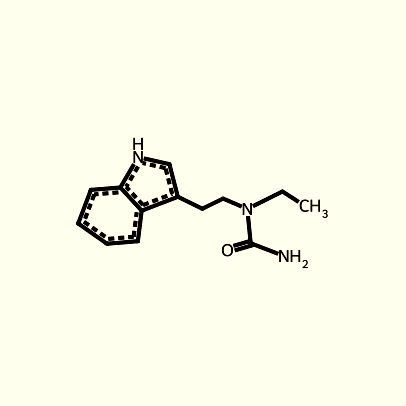 CCN(CCc1c[nH]c2ccccc12)C(N)=O